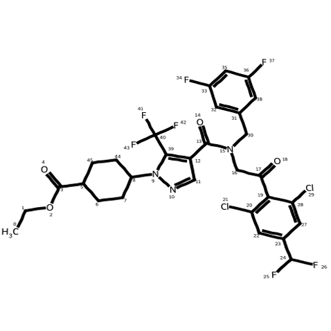 CCOC(=O)C1CCC(n2ncc(C(=O)N(CC(=O)c3c(Cl)cc(C(F)F)cc3Cl)Cc3cc(F)cc(F)c3)c2C(F)(F)F)CC1